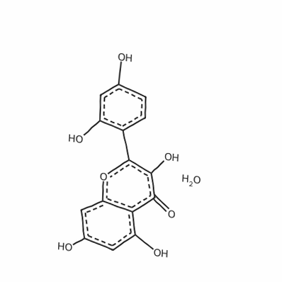 O.O=c1c(O)c(-c2ccc(O)cc2O)oc2cc(O)cc(O)c12